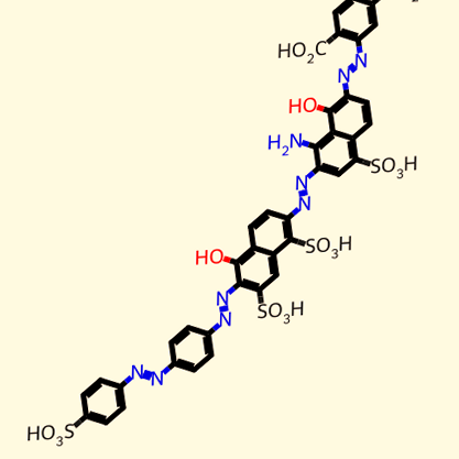 Nc1c(N=Nc2ccc3c(O)c(N=Nc4ccc(N=Nc5ccc(S(=O)(=O)O)cc5)cc4)c(S(=O)(=O)O)cc3c2S(=O)(=O)O)cc(S(=O)(=O)O)c2ccc(N=Nc3cc([N+](=O)[O-])ccc3C(=O)O)c(O)c12